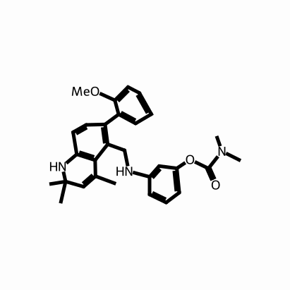 COc1ccccc1-c1ccc2c(c1CNc1cccc(OC(=O)N(C)C)c1)C(C)=CC(C)(C)N2